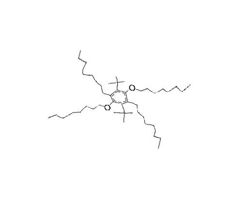 CCCCCCCCOc1c(CCCCCCCC)c(C(C)(C)C)c(OCCCCCCCC)c(CCCCCCCC)c1C(C)(C)C